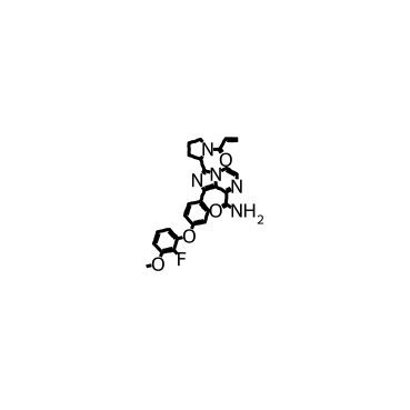 C=CC(=O)N1CCCC1c1nc(-c2ccc(Oc3cccc(OC)c3F)cc2)c2c(C(N)=O)nccn12